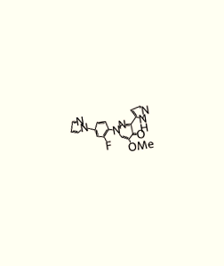 COc1cn(-c2ccc(-n3cccn3)cc2F)nc(-c2ccn[nH]2)c1=O